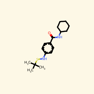 CC(C)(C)SNc1ccc(C(=O)NC2CCCCC2)cc1